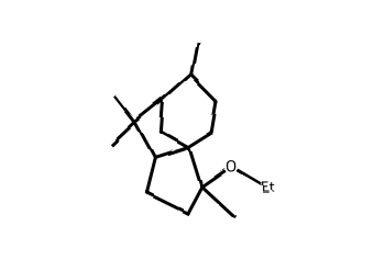 CCOC1(C)CCC2C(C)(C)C3CC21CCC3C